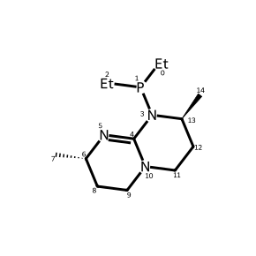 CCP(CC)N1C2=N[C@@H](C)CCN2CC[C@@H]1C